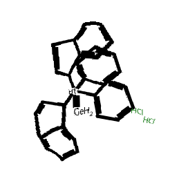 Cl.Cl.[GeH2]=[Hf]([c]1ccccc1)([c]1ccccc1)([CH]1C=Cc2ccccc21)[CH]1C=Cc2ccccc21